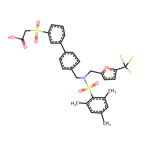 Cc1cc(C)c(S(=O)(=O)N(Cc2ccc(-c3cccc(S(=O)(=O)CC(=O)O)c3)cc2)Cc2ccc(C(F)(F)F)o2)c(C)c1